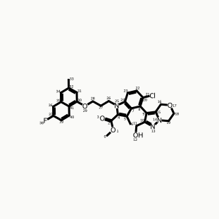 COC(=O)c1c(C)c2c(-c3c(CO)nn4c3COCC4)c(Cl)ccc2n1CCCOc1cc(C)cc2cc(F)ccc12